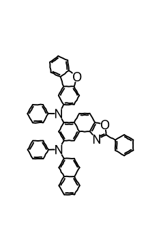 c1ccc(-c2nc3c(ccc4c(N(c5ccccc5)c5ccc6oc7ccccc7c6c5)cc(N(c5ccccc5)c5ccc6ccccc6c5)cc43)o2)cc1